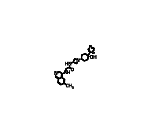 Cc1ccc2cncc(NCC(=O)NC3CN([C@H]4CC[C@](O)(c5cncs5)CC4)C3)c2c1